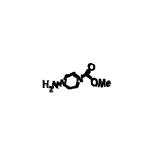 COC(=O)N1CCN(N)CC1